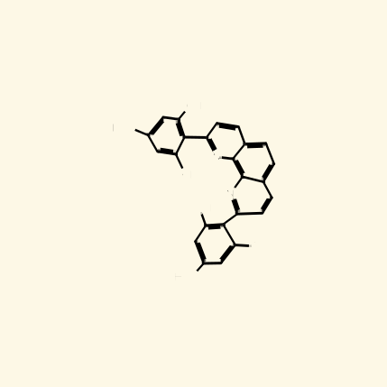 Cc1cc(C)c(-c2ccc3ccc4ccc(-c5c(C)cc(C)cc5C)nc4c3n2)c(C)c1